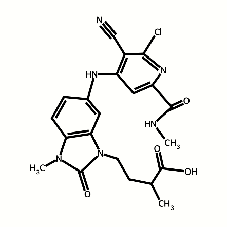 CNC(=O)c1cc(Nc2ccc3c(c2)n(CCC(C)C(=O)O)c(=O)n3C)c(C#N)c(Cl)n1